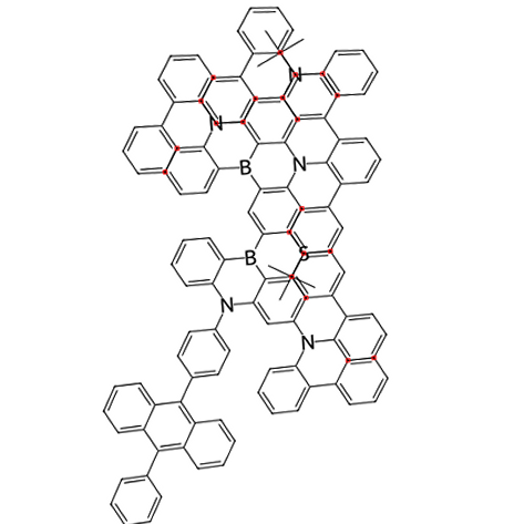 CC(C)(C)c1ccc(-c2cccc(-c3ccc(C(C)(C)C)cc3)c2N2c3cc4c(cc3B3c5ccccc5N(c5ccccc5-c5ccccc5)c5cc(N(c6ccccc6)c6ccccc6-c6ccccc6)cc2c53)B2c3ccccc3N(c3ccc(-c5c6ccccc6c(-c6ccccc6)c6ccccc56)cc3)c3cc(N(c5ccccc5-c5ccccc5)c5ccccc5-c5ccccc5)cc(c32)S4)cc1